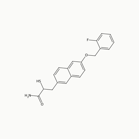 NC(=O)C(S)Cc1ccc2cc(OCc3ccccc3F)ccc2c1